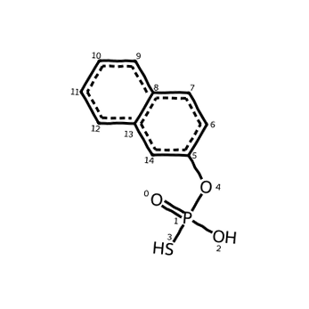 O=P(O)(S)Oc1ccc2ccccc2c1